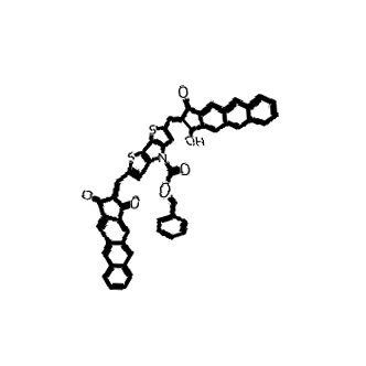 O=C1C(=Cc2cc3c(s2)c2sc(/C=C4/C(=O)c5cc6cc7ccccc7cc6cc5C4O)cc2n3C(=O)OCc2ccccc2)C(=O)c2cc3cc4ccccc4cc3cc21